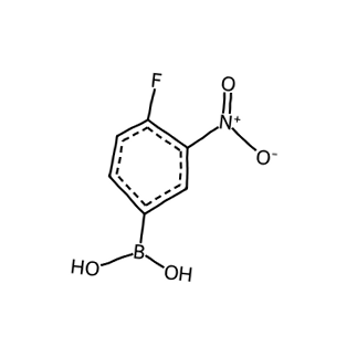 O=[N+]([O-])c1cc(B(O)O)ccc1F